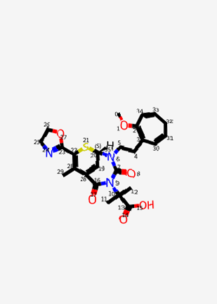 COC1=C(CCN2C(=O)N(C(C)(C)C(=O)O)C(=O)C3=C[C@@H]2SC(C2=NCCO2)=C3C)C=CCC=C1